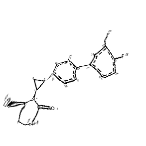 O=C1CNC(=O)N1[C@H]1C[C@@H]1c1ccc(-c2ccc(F)c(F)c2)nc1